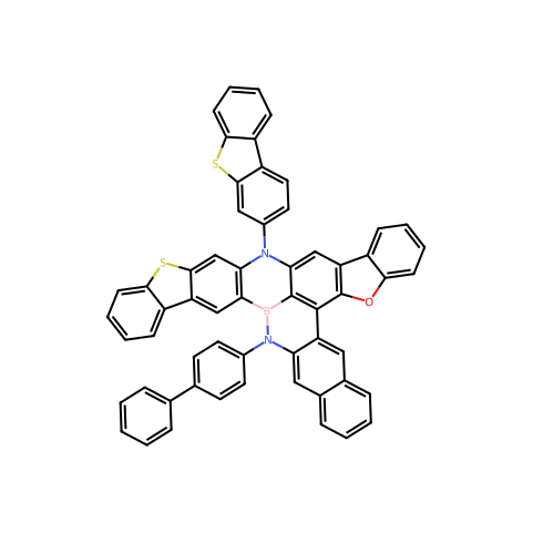 c1ccc(-c2ccc(N3B4c5cc6c(cc5N(c5ccc7c(c5)sc5ccccc57)c5cc7c(oc8ccccc87)c(c54)-c4cc5ccccc5cc43)sc3ccccc36)cc2)cc1